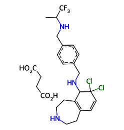 CC(NCc1ccc(CNC2C3=C(C=CC2(Cl)Cl)CCNCC3)cc1)C(F)(F)F.O=C(O)CCC(=O)O